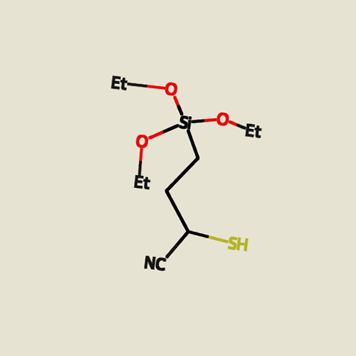 CCO[Si](CCC(S)C#N)(OCC)OCC